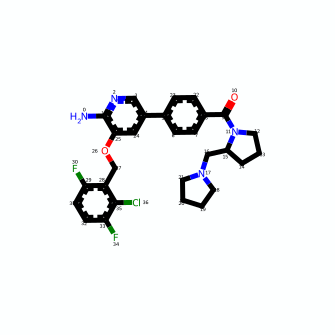 Nc1ncc(-c2ccc(C(=O)N3CCCC3CN3CCCC3)cc2)cc1OCc1c(F)ccc(F)c1Cl